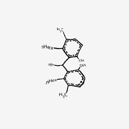 CCCCCCc1c(C)ccc(O)c1C(CCC)c1c(O)ccc(C)c1CCCCCC